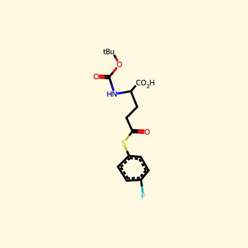 CC(C)(C)OC(=O)NC(CCC(=O)Sc1ccc(F)cc1)C(=O)O